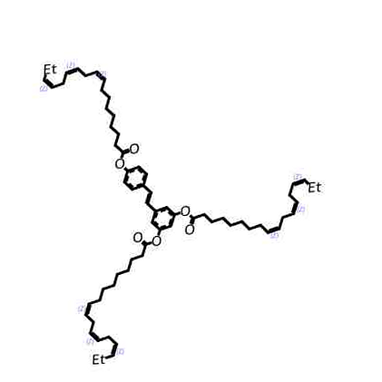 CC/C=C\C/C=C\C/C=C\CCCCCCCC(=O)Oc1ccc(C=Cc2cc(OC(=O)CCCCCCC/C=C\C/C=C\C/C=C\CC)cc(OC(=O)CCCCCCC/C=C\C/C=C\C/C=C\CC)c2)cc1